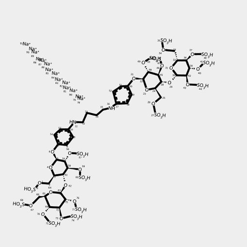 O=S(=O)(O)OC[C@H]1O[C@@H](Oc2ccc(NCCCCNc3ccc(O[C@@H]4O[C@H](COS(=O)(=O)O)[C@@H](O[C@@H]5O[C@H](COS(=O)(=O)O)[C@@H](OS(=O)(=O)O)[C@H](OS(=O)(=O)O)[C@H]5OS(=O)(=O)O)[C@H](OS(=O)(=O)O)[C@H]4OS(=O)(=O)O)cc3)cc2)[C@H](OS(=O)(=O)O)[C@@H](OS(=O)(=O)O)[C@@H]1O[C@@H]1O[C@H](COS(=O)(=O)O)[C@@H](OS(=O)(=O)O)[C@H](OS(=O)(=O)O)[C@H]1OS(=O)(=O)O.[Na+].[Na+].[Na+].[Na+].[Na+].[Na+].[Na+].[Na+].[Na+].[Na+].[Na+].[Na+].[Na+].[Na+]